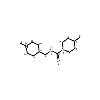 CC1CCN(C(=O)NCC2CCN(C)CC2)CC1